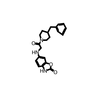 O=C(CNc1ccc2[nH]c(=O)oc2c1)N1CCC(Cc2ccccc2)CC1